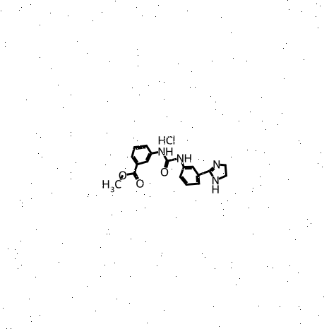 COC(=O)c1cccc(NC(=O)Nc2cccc(C3=NCCN3)c2)c1.Cl